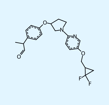 CC(C=O)c1ccc(OC2CCN(c3ccc(OCC4CC4(F)F)cn3)C2)cc1